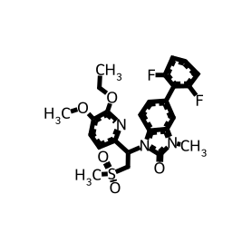 CCOc1nc(C(CS(C)(=O)=O)n2c(=O)n(C)c3cc(-c4c(F)cccc4F)ccc32)ccc1OC